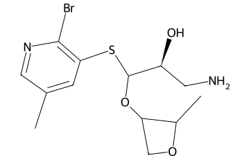 Cc1cnc(Br)c(SC(OC2COC2C)[C@@H](O)CN)c1